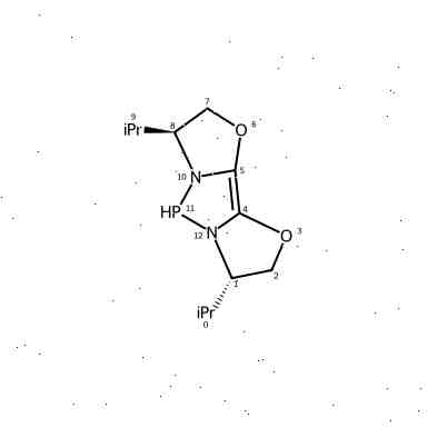 CC(C)[C@H]1COC2=C3OC[C@H](C(C)C)N3PN21